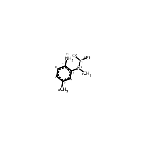 CC[S+]([O-])N(C)c1cc(C)ccc1N